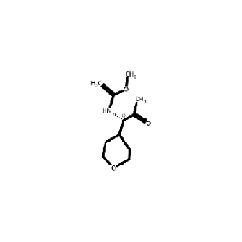 C=C(N[C@H](C(C)=O)C1CCOCC1)OC